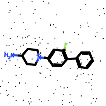 NC1CCN(c2ccc(-c3ccccc3)c(F)c2)CC1